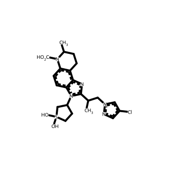 CC(Cn1cc(Cl)cn1)c1nc2c3c(ccc2n1C1CCS(O)(O)C1)N(C(=O)O)C(C)CC3